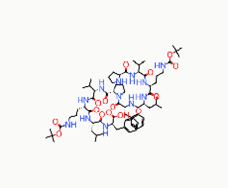 CC(C)C[C@H](NC(=O)[C@H](CCCNC(=O)OC(C)(C)C)NC(=O)[C@@H](NC(=O)[C@@H]1CCCN1C(=O)[C@@H](Cc1ccccc1)NC(=O)[C@H](CC(C)C)NC(=O)[C@H](CCCNC(=O)OC(C)(C)C)NC(=O)[C@@H](NC(=O)[C@@H]1CCCN1)C(C)C)C(C)C)C(=O)N[C@H](Cc1ccccc1)C(=O)O